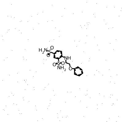 NS(=O)(=O)c1ccc(NCCOc2ccccc2)c(S(N)(=O)=O)c1